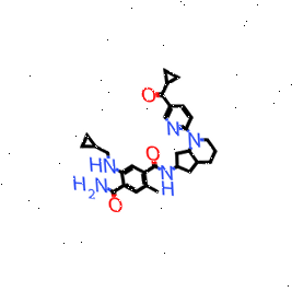 Cc1cc(C(N)=O)c(NCC2CC2)cc1C(=O)NC1CC2CCCN(c3ccc(C(=O)C4CC4)cn3)C2C1